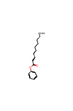 CCCCCCCCCCCCCCCCC=CC(=O)Oc1ccccc1